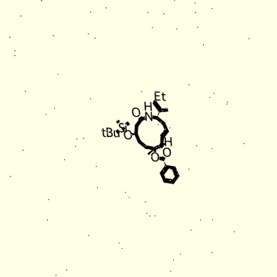 CC/C=C(\C)[C@@H]1C/C=C/[C@@H]2O[C@H](c3ccccc3)O[C@]2(C)CC[C@@H](O[Si](C)(C)C(C)(C)C)CC(=O)N1